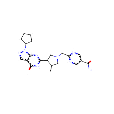 CC1CN(Cc2ncc(C(N)=O)cn2)CC1c1nc2c(cnn2C2CCCC2)c(=O)[nH]1